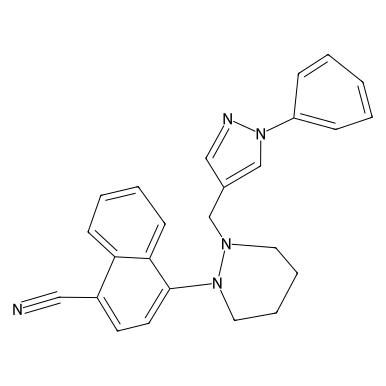 N#Cc1ccc(N2CCCCN2Cc2cnn(-c3ccccc3)c2)c2ccccc12